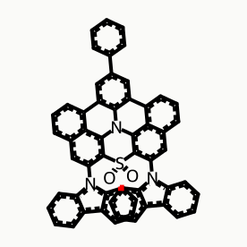 O=S1(=O)c2c(-n3c4ccccc4c4ccccc43)cc3cccc4c3c2N2c3c-4cc(-c4ccccc4)cc3-c3cccc4cc(-n5c6ccccc6c6ccccc65)c1c2c34